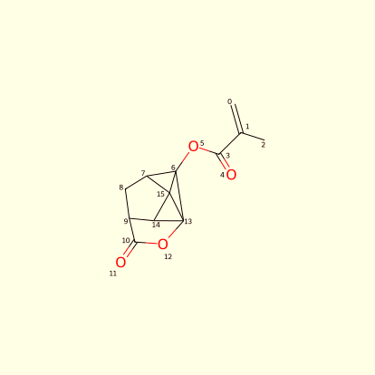 C=C(C)C(=O)OC12C3CC4C(=O)OC15C4C325